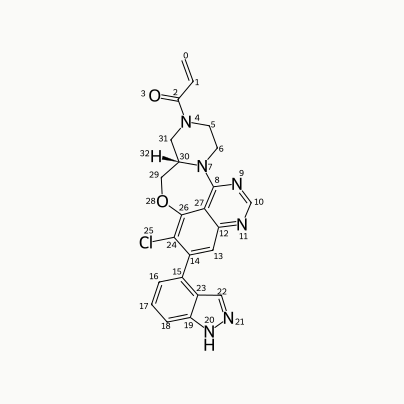 C=CC(=O)N1CCN2c3ncnc4cc(-c5cccc6[nH]ncc56)c(Cl)c(c34)OC[C@@H]2C1